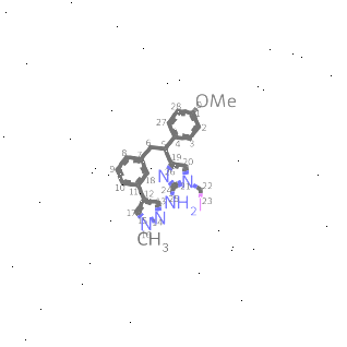 COc1ccc(C(Cc2cccc(-c3cnn(C)c3)c2)c2cn(CI)c(N)n2)cc1